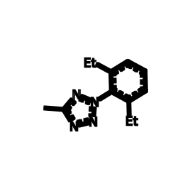 CCc1cccc(CC)c1-n1nnc(C)n1